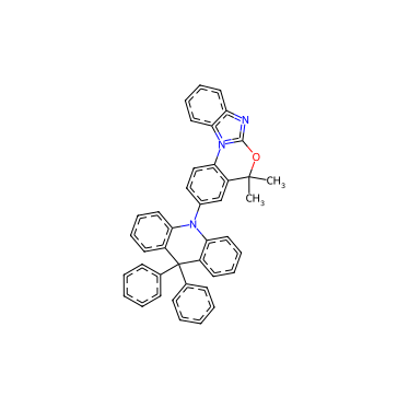 CC1(C)Oc2nc3ccccc3n2-c2ccc(N3c4ccccc4C(c4ccccc4)(c4ccccc4)c4ccccc43)cc21